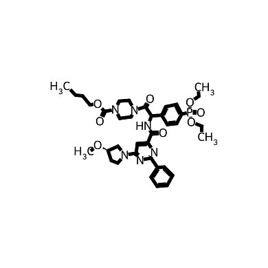 CCCCOC(=O)N1CCN(C(=O)C(NC(=O)c2cc(N3CC[C@H](OC)C3)nc(-c3ccccc3)n2)c2ccc(P(=O)(OCC)OCC)cc2)CC1